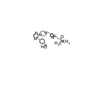 CN(C)C(=O)CCn1cc(CN2CCN(c3nccnc3-c3ccc(F)cc3)CC2)cn1.Cl